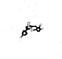 Clc1ccc(-c2c[nH]c(Cc3c(Cl)ccc(Cl)c3Cl)n2)cc1